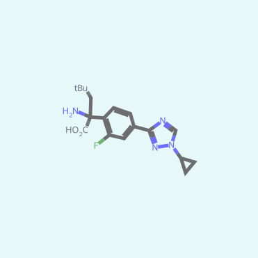 CC(C)(C)CC(N)(C(=O)O)c1ccc(-c2ncn(C3CC3)n2)cc1F